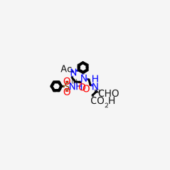 CC(=O)N1C[C@H](NS(=O)(=O)c2ccccc2)C(=O)N(CC(=O)N[C@H](C=O)CC(=O)O)c2ccccc21